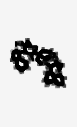 CCC(CC)(C(=O)NC(c1cccc2ccccc12)C1(O)CC1)C(=O)NC(c1cccc2ccccc12)C1(O)CC1